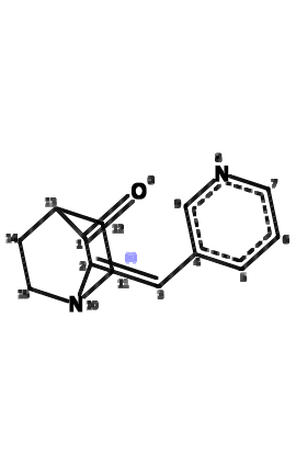 O=C1/C(=C\c2cccnc2)N2CCC1CC2